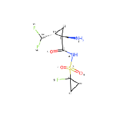 N[C@]1(C(=O)NS(=O)(=O)C2(F)CC2)C[C@H]1C(F)F